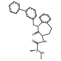 CN[C@@H](C)C(=O)NC1CCc2ccccc2N(Cc2cccc(-c3ccccc3)c2)C1=O